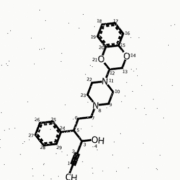 CC#CC(O)C(CCN1CCN(C2COc3ccccc3O2)CC1)c1ccccc1